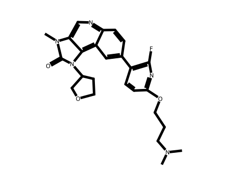 CN(C)CCCOc1ccc(-c2ccc3ncc4c(c3c2)n(C2CCOC2)c(=O)n4C)c(F)n1